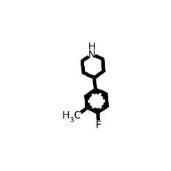 Cc1cc(C2CCNCC2)ccc1F